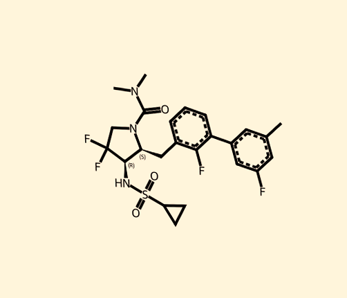 Cc1cc(F)cc(-c2cccc(C[C@H]3[C@@H](NS(=O)(=O)C4CC4)C(F)(F)CN3C(=O)N(C)C)c2F)c1